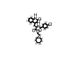 O=C(NC(Cc1cc(=O)[nH]c2ccccc12)C(=O)OCCN1CCCCCC1)c1ccc(Cl)cc1